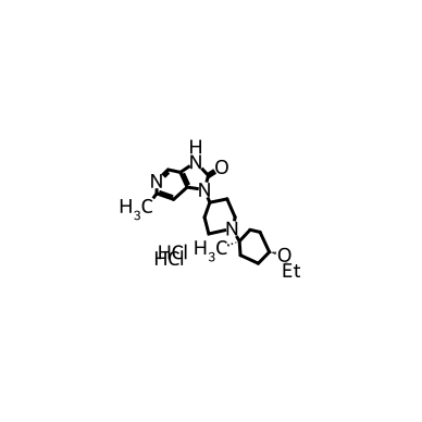 CCO[C@H]1CC[C@](C)(N2CCC(n3c(=O)[nH]c4cnc(C)cc43)CC2)CC1.Cl.Cl